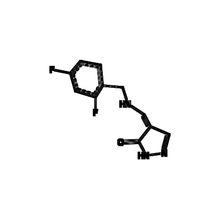 O=C1NN=CC1=CNCc1ccc(F)cc1F